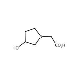 O=C(O)CN1CCC(O)C1